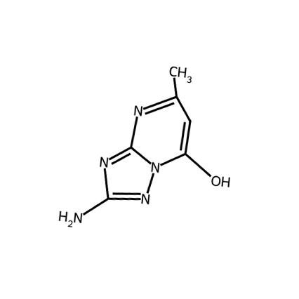 Cc1cc(O)n2nc(N)nc2n1